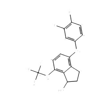 OC1CCc2c(Oc3ccc(F)c(F)c3)ccc(SC(F)(F)F)c21